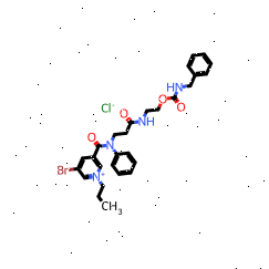 CCC[n+]1cc(Br)cc(C(=O)N(CCC(=O)NCCOC(=O)NCc2ccccc2)c2ccccc2)c1.[Cl-]